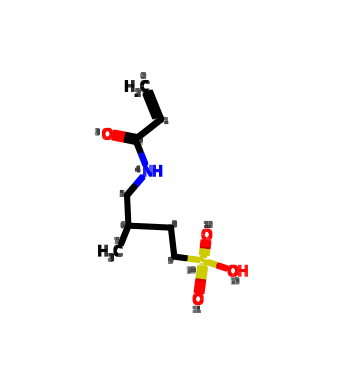 C=CC(=O)NCC(C)CCS(=O)(=O)O